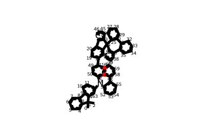 CC1(C)c2ccccc2-c2ccc(N(c3ccc(-c4ccc5c(c4)C4(c6ccccc6-c6ccccc6-c6ccccc64)c4ccccc4-5)cc3)c3ccccc3-c3ccccc3)cc21